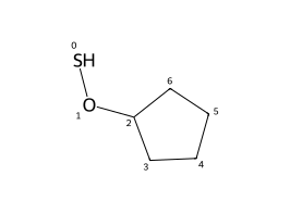 SOC1CCCC1